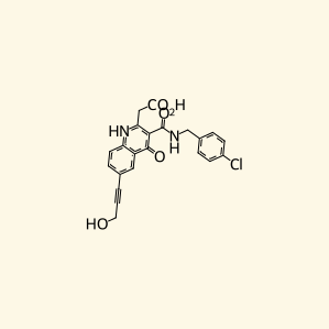 O=C(O)Cc1[nH]c2ccc(C#CCO)cc2c(=O)c1C(=O)NCc1ccc(Cl)cc1